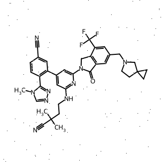 Cn1cnnc1-c1ccc(C#N)cc1-c1cc(NCCC(C)(C)C#N)nc(N2Cc3c(cc(CN4CCC5(CC5)C4)cc3C(F)(F)F)C2=O)c1